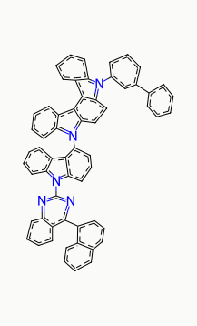 c1ccc(-c2cccc(-n3c4ccccc4c4c5c6ccccc6n(-c6cccc7c6c6ccccc6n7-c6nc(-c7cccc8ccccc78)c7ccccc7n6)c5ccc43)c2)cc1